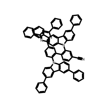 N#Cc1ccc(-c2cc(-c3nc(-c4ccccc4)cc(-c4ccccc4)n3)ccc2-n2c3ccc(-c4ccccc4)cc3c3cc(-c4ccccc4)ccc32)c(-n2c3ccc(-c4ccccc4)cc3c3cc(-c4ccccc4)ccc32)c1